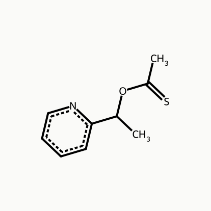 CC(=S)OC(C)c1ccccn1